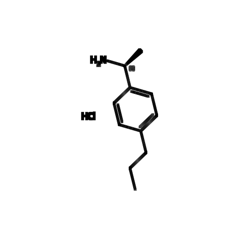 CCCc1ccc([C@H](C)N)cc1.Cl